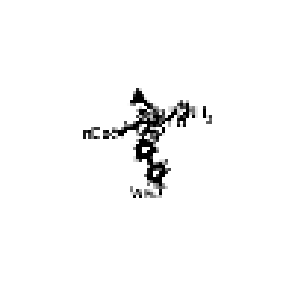 CCCCCCCCCCCCCCC(C(=O)NCCS(N)(=O)=O)(c1nc2ccc(-c3ccc(COC)cc3)cc2s1)S(=O)(=O)CC1CC1